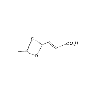 CC1OC(/C=C/C(=O)O)O1